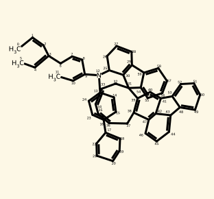 C/C=C\C(=C/C)C/C=C\C(=C/C)N(c1ccc(-c2ccccc2)cc1)C1CC=CC2=C1C1(C/C=C\C=C/Cc3c1cc1c4c(cccc34)-c3ccccc3-1)c1ccccc12